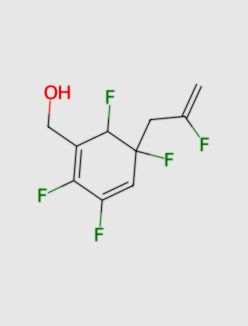 C=C(F)CC1(F)C=C(F)C(F)=C(CO)C1F